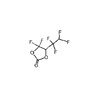 O=C1OC(C(F)(F)C(F)F)C(F)(F)O1